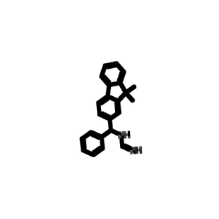 CC1(C)c2ccccc2-c2ccc(C(NC=N)c3ccccc3)cc21